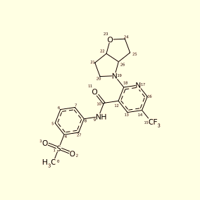 CS(=O)(=O)c1cccc(NC(=O)c2cc(C(F)(F)F)cnc2N2CCC3OCCC32)c1